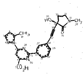 Cc1ccnn1-c1cc(C(=O)O)nc(-c2cccc(C#C[C@]3(O)CCN(C)C3=O)c2)n1